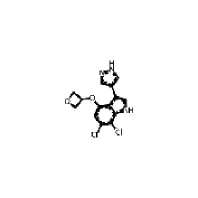 Clc1cc(OC2COC2)c2c(-c3cn[nH]c3)c[nH]c2c1Cl